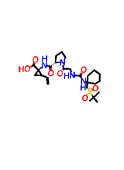 C=CC1C[C@]1(NC(=O)[C@@H]1CCCN1C(=O)CNC(=O)NC1(CS(=O)(=O)C(C)(C)C)CCCCC1)C(=O)O